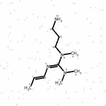 C/C=C/N=C(\N(C)C)N(C)CCCN